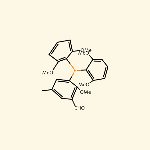 COc1cccc(OC)c1P(c1cc(C)cc(C=O)c1OC)c1c(OC)cccc1OC